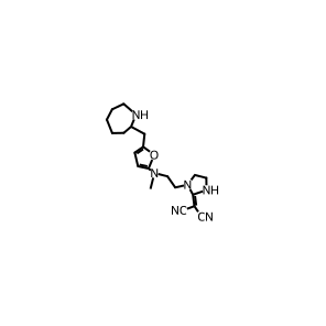 CN(CCN1CCNC1=C(C#N)C#N)c1ccc(CC2CCCCCN2)o1